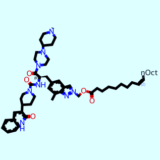 CCCCCCCC/C=C\CCCCCCCC(=O)OCn1cc2cc(C[C@@H](NC(=O)N3CCC(c4cc5ccccc5[nH]c4=O)CC3)C(=O)N3CCN(C4CCN(C)CC4)CC3)cc(C)c2n1